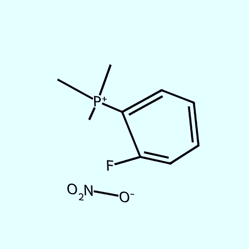 C[P+](C)(C)c1ccccc1F.O=[N+]([O-])[O-]